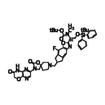 CN(C(=O)OC(C)(C)C)[C@@H](CO[Si](c1ccccc1)(c1ccccc1)C(C)(C)C)c1nc2cc3c(c(F)c2o1)CC(CN1CCC2(CC1)CN(c1cnc4c(n1)NC(=O)CO4)C(=O)O2)C3